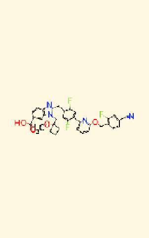 COC1(Cn2c(Cc3cc(F)c(-c4cccc(OCc5ccc(C#N)cc5F)n4)cc3F)nc3ccc(C(=O)O)cc32)CCC1